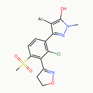 CC(=O)c1c(-c2ccc(S(C)(=O)=O)c(C3=NOCC3)c2Cl)nn(C)c1O